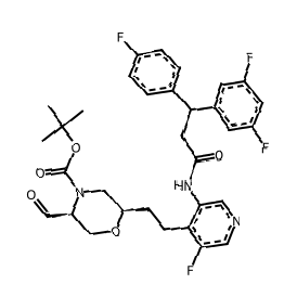 CC(C)(C)OC(=O)N1C[C@@H](CCc2c(F)cncc2NC(=O)CC(c2ccc(F)cc2)c2cc(F)cc(F)c2)OC[C@H]1C=O